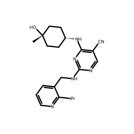 CC(C)c1ncccc1CNc1ncc(C#N)c(N[C@H]2CC[C@@](C)(O)CC2)n1